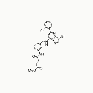 COC(=O)CCC(=O)Nc1cccc(CNc2cc(-c3ccccc3Cl)nc3c(Br)cnn23)c1